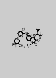 C[C@@H]1CN(c2ncc(Cl)c(Nc3ccc4c(c3)c3c(c(=O)n4C)OCC(F)(F)[C@H](C4CC4)N3)n2)CCC1(F)F